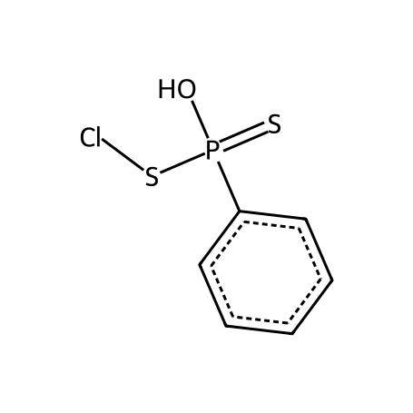 OP(=S)(SCl)c1ccccc1